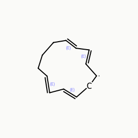 [CH]1/C=C/C=C/CCC/C=C/C=C/C1